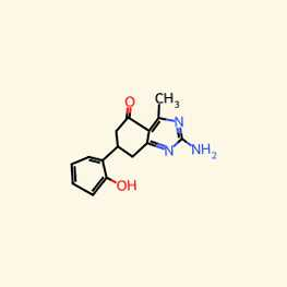 Cc1nc(N)nc2c1C(=O)CC(c1ccccc1O)C2